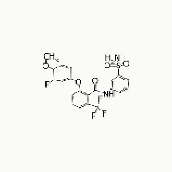 COc1ccc(Oc2cccc(C(F)(F)F)c2C(=O)Nc2cccc(S(N)(=O)=O)c2)cc1F